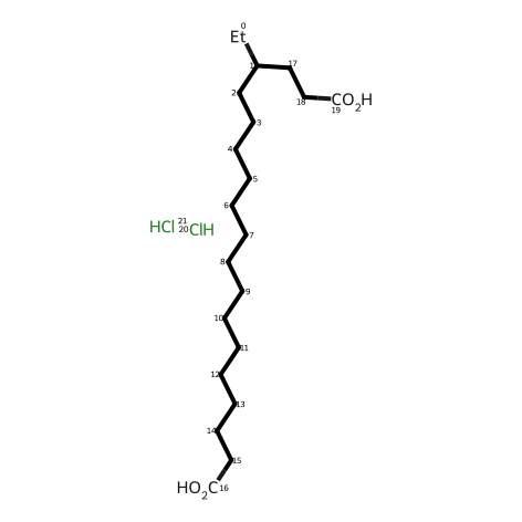 CCC(CCCCCCCCCCCCCCC(=O)O)CCC(=O)O.Cl.Cl